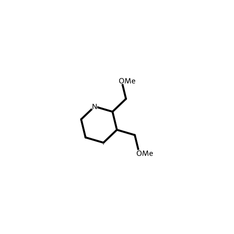 COCC1[CH]CC[N]C1COC